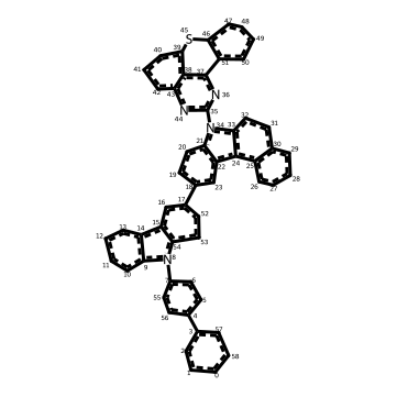 c1ccc(-c2ccc(-n3c4ccccc4c4cc(-c5ccc6c(c5)c5c7ccccc7ccc5n6-c5nc6c7c(cccc7n5)Sc5ccccc5-6)ccc43)cc2)cc1